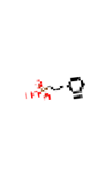 C=C.CCCS(=O)(=O)O.c1ccccc1